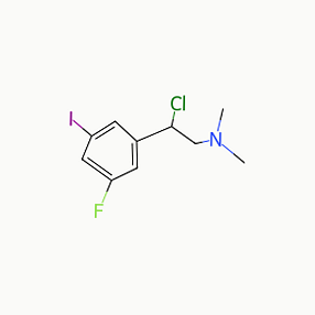 CN(C)CC(Cl)c1cc(F)cc(I)c1